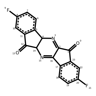 O=C1C2=NC3c4ccc(F)cc4C(=O)C3N=C2c2ccc(F)cc21